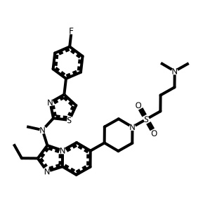 CCc1nc2ccc(C3CCN(S(=O)(=O)CCCN(C)C)CC3)cn2c1N(C)c1nc(-c2ccc(F)cc2)cs1